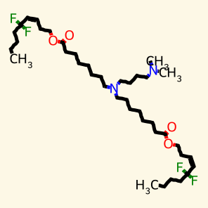 CCCCC(F)(F)/C=C\CCOC(=O)CCCCCCCN(CCCCCCCC(=O)OCC/C=C\C(F)(F)CCCC)CCCCN(C)C